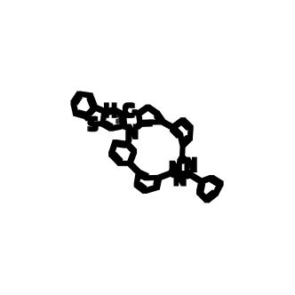 CC1CC=C2C=C1N(c1ccc3c(c1)sc1ccccc13)C1=CC=CC(C1)c1cccc(c1)-c1nc(-c3ccccc3)nc(n1)-c1cccc2c1